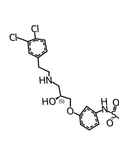 CS(=O)(=O)Nc1cccc(OC[C@@H](O)CNCCc2ccc(Cl)c(Cl)c2)c1